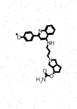 COc1ccc(-c2cc(NCCCN3CC4CCC(OC(N)=O)C4C3)c3ccccc3n2)cc1